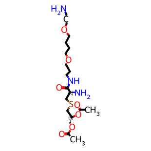 CC(=O)OC[C@H](CSC[C@H](N)C(=O)NCCCOCCCCOCCCN)OC(C)=O